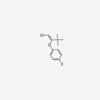 CC(C)(C)/C(=C/Cl)Oc1ccc(F)cc1